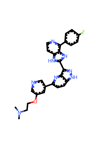 CN(C)CCOc1cncc(-c2ccc3[nH]nc(-c4nc5c(-c6ccc(F)cc6)nccc5[nH]4)c3n2)c1